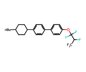 CCCCC1CCC(c2ccc(-c3ccc(OC(F)(F)C(F)C(F)(F)F)cc3)cc2)CC1